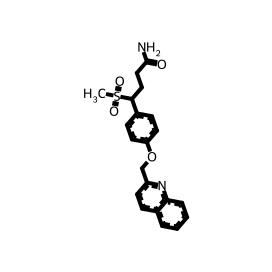 CS(=O)(=O)C(CCC(N)=O)c1ccc(OCc2ccc3ccccc3n2)cc1